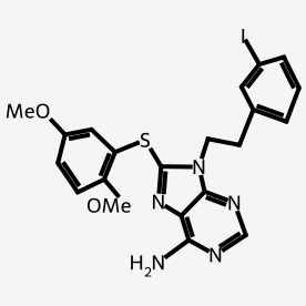 COc1ccc(OC)c(Sc2nc3c(N)ncnc3n2CCc2cccc(I)c2)c1